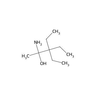 CCC(CC)(CC)C(C)(N)O